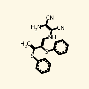 C=C(Sc1ccccc1)C(=CN/C(C#N)=C(\N)C#N)Sc1ccccc1